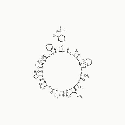 CCC(C)[C@@H]1NC(=O)[C@H](C)N(C)C(=O)C[C@@H](C)N(C)C(=O)[C@H](C2CCC2)N(C)C(=O)C(C)(C)N(C)C(=O)CN(c2ccccc2)C(=O)[C@H](CCc2ccc(C(F)(F)F)c(Cl)c2)NC(=O)CN(C)C(=O)[C@H](CC2CCCCC2)N(C)C(=O)CN(C)C(=O)CN(C)C1=O